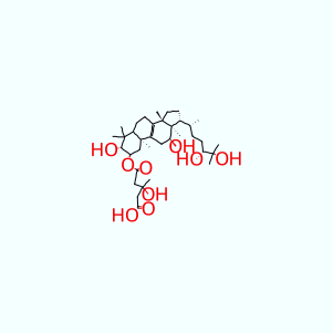 C[C@H](CC[C@@H](O)C(C)(C)O)[C@H]1CC[C@@]2(C)C3=C(C[C@H](O)[C@]12C)[C@@]1(C)C[C@@H](OC(=O)CC(C)(O)CC(=O)O)[C@H](O)C(C)(C)C1CC3